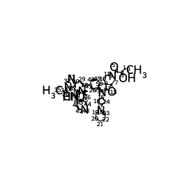 CC[C@@H](O)C(=O)N1CCC2(CC1)C(=O)N([C@H]1C[C@@H](N3CCCCC3)C1)c1cc(-c3cc4ncn(C(C)C)c4c(Nc4ccncc4F)n3)ccc12